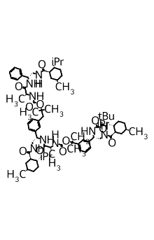 CC(C)[C@@H]1CC[C@@H](C)C[C@H]1C(=O)NC[C@H](NC(=O)[C@@H](C)NC(=O)OC(C)(C)Cc1cccc([C@@H](CNC(=O)[C@@H]2C[C@H](C)CC[C@H]2C(C)C)NC(=O)[C@@H](C)NC(=O)OC(C)(C)c2cccc([C@@H](CNC(=O)[C@@H]3C[C@H](C)CC[C@H]3C(C)C)NC(=O)OC(C)(C)C)c2)c1)c1ccccc1